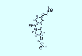 CCC(c1ccc(OCC2CO2)cc1)c1ccc(OCC2CO2)cc1